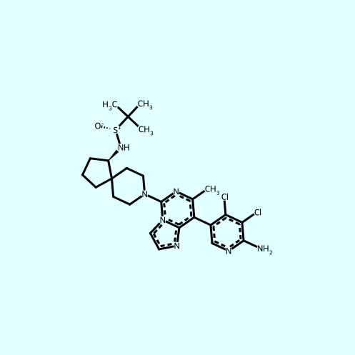 Cc1nc(N2CCC3(CCC[C@H]3N[S@+]([O-])C(C)(C)C)CC2)n2ccnc2c1-c1cnc(N)c(Cl)c1Cl